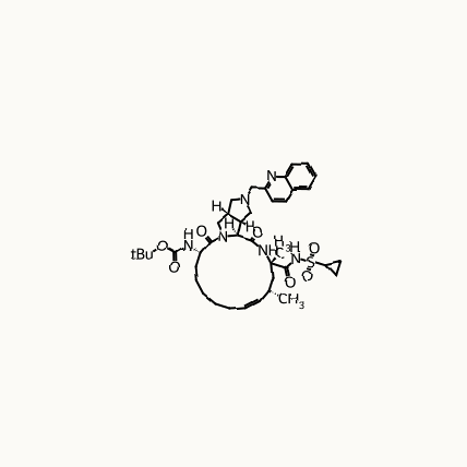 C[C@@H]1/C=C\CCCCC[C@H](NC(=O)OC(C)(C)C)C(=O)N2C[C@@H]3CN(Cc4ccc5ccccc5n4)C[C@@H]3[C@H]2C(=O)N[C@](C)(C(=O)NS(=O)(=O)C2CC2)C1